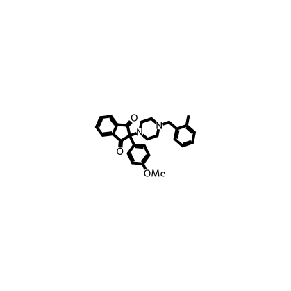 COc1ccc(C2(N3CCN(Cc4ccccc4C)CC3)C(=O)c3ccccc3C2=O)cc1